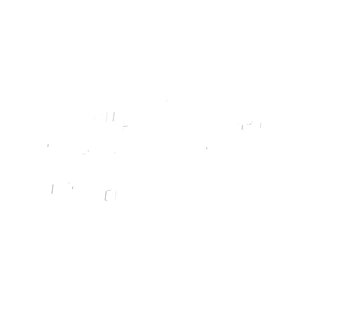 CCCCOC(=O)CC(CC)(CC)P(=O)(O)O